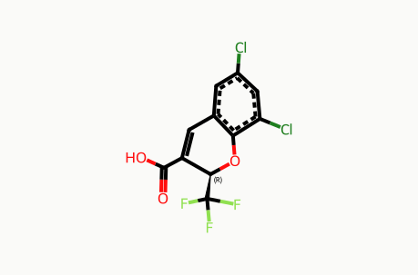 O=C(O)C1=Cc2cc(Cl)cc(Cl)c2O[C@H]1C(F)(F)F